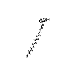 CCC=CCCCCCC=CCC=CCCCCCC(=O)O